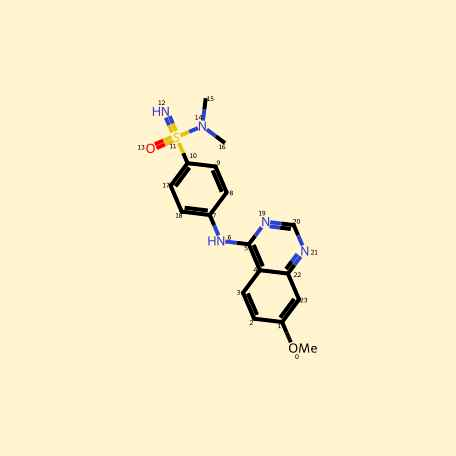 COc1ccc2c(Nc3ccc(S(=N)(=O)N(C)C)cc3)ncnc2c1